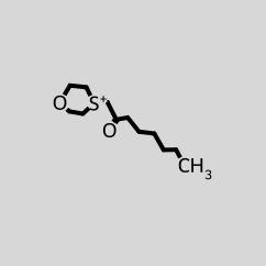 CCCCCCC(=O)C[S+]1CCOCC1